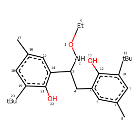 CC[O][AlH][CH](Cc1cc(C)cc(C(C)(C)C)c1O)c1cc(C)cc(C(C)(C)C)c1O